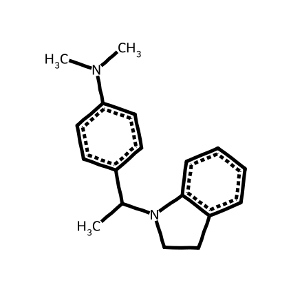 CC(c1ccc(N(C)C)cc1)N1CCc2ccccc21